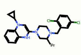 CC(C)C1CN(C2=CN(C3CC3)c3ccccc3N2)CCN1Cc1cc(Cl)ccc1Cl